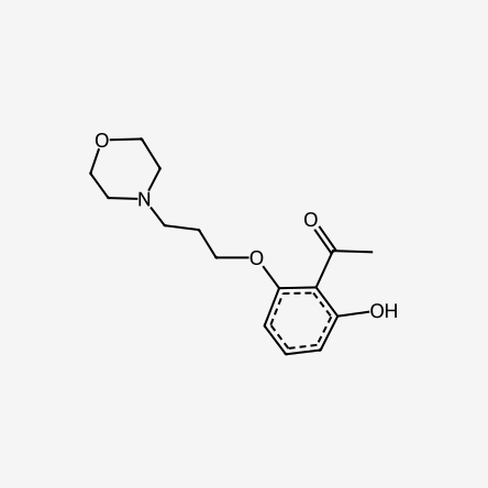 CC(=O)c1c(O)cccc1OCCCN1CCOCC1